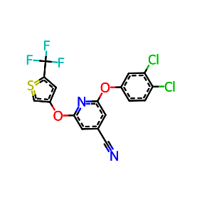 N#Cc1cc(Oc2csc(C(F)(F)F)c2)nc(Oc2ccc(Cl)c(Cl)c2)c1